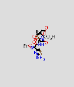 CCO/N=C(\C(=O)N[C@@H]1C(=O)N2[C@@H]1S(=O)(=O)C[C@@H]1CC(=O)O[C@@]12C(=O)O)c1csc(N)n1